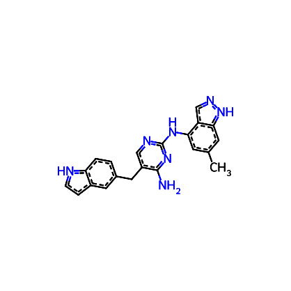 Cc1cc(Nc2ncc(Cc3ccc4[nH]ccc4c3)c(N)n2)c2cn[nH]c2c1